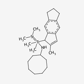 CC1=Cc2cc3c(cc2[CH]1[Ti]([CH3])([CH3])([NH]C1CCCCCCC1)=[Si](C)C)CCC3